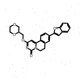 O=c1nc(OCC2COCCO2)cc2n1CCc1cc(-c3cc4ccccc4o3)ccc1-2